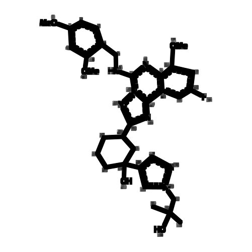 COc1ccc(CNc2nc3c(OC)cc(F)cc3c3nc(C4CCCC(O)(c5cnn(CC(C)(C)O)c5)C4)nn23)c(OC)c1